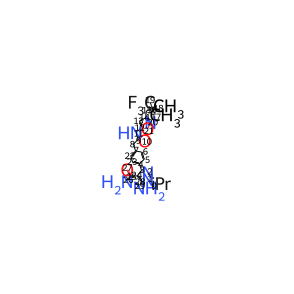 CC(C)n1nc(-c2ccc(CC(=O)Nc3cc(CC(C)(C)C(F)(F)F)no3)cc2)c(C(N)=O)c1N